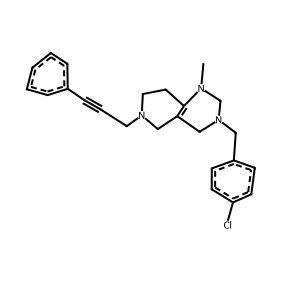 CN1CN(Cc2ccc(Cl)cc2)CC2=C1CCN(CC#Cc1ccccc1)C2